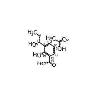 CC(=O)O.CCC(O)c1cccc(C(=O)O)c1O